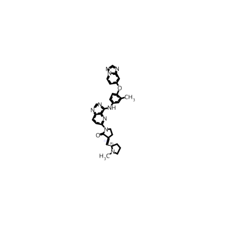 Cc1cc(Nc2ncnc3ccc(N4CC/C(=C\[C@H]5CCCN5C)C4=O)nc23)ccc1Oc1ccn2ncnc2c1